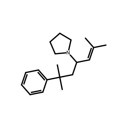 CC(C)=CC(CC(C)(C)c1ccccc1)N1CCCC1